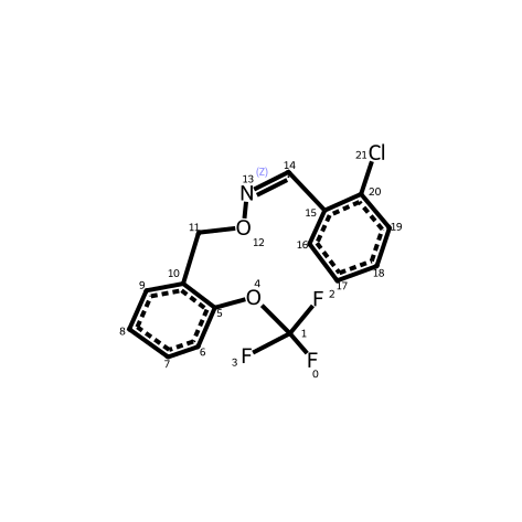 FC(F)(F)Oc1ccccc1CO/N=[C]\c1ccccc1Cl